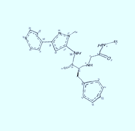 CCNC(=O)CN[C@@H](Cc1ccccc1)C(=O)Nc1cc(-c2ccncc2)nn1C